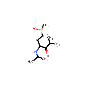 CC(C)NC(CC[S+](C)[O-])C(=O)C(C)C